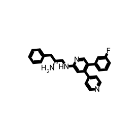 N[C@@H](CNc1cc(-c2ccncc2)c(-c2cccc(F)c2)cn1)Cc1ccccc1